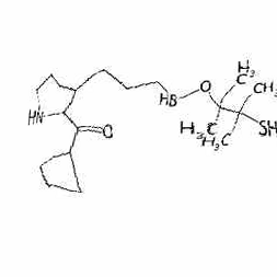 CC(C)(S)C(C)(C)OBCCCC1CCNC1C(=O)C1CCC1